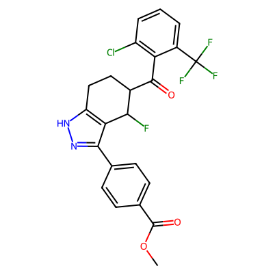 COC(=O)c1ccc(-c2n[nH]c3c2C(F)C(C(=O)c2c(Cl)cccc2C(F)(F)F)CC3)cc1